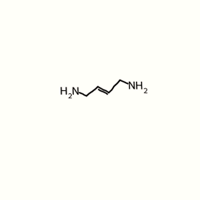 NCC=CCN